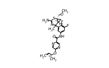 C=C[C@@H](C)Oc1cnc(C(=O)Nc2cc(F)c(F)c([C@]3(C)N=C(N)S[C@@]4(COC)C[C@H]43)c2)cn1